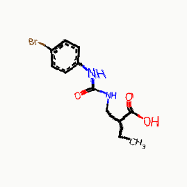 CCC(CNC(=O)Nc1ccc(Br)cc1)C(=O)O